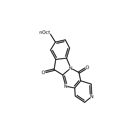 CCCCCCCCc1ccc2c(c1)C(=O)c1nc3ccncc3c(=O)n1-2